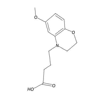 COc1ccc2c(c1)N(CCCC(=O)O)CCO2